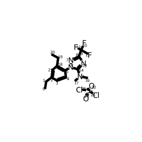 CCc1ccc(-n2nc(C(F)(F)F)nc2N(C)C)c(CC)c1.O=S(=O)(Cl)Cl